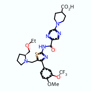 CCOC[C@@H]1CCCN1Cc1sc(NC(=O)c2cnc(N3CCC(C(=O)O)CC3)cn2)nc1-c1ccc(OC)c(OC(F)(F)F)c1